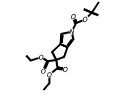 CCOC(=O)C1(C(=O)OCC)Cc2cn(C(=O)OC(C)(C)C)cc2C1